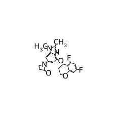 Cc1nc2c(OC3CCOc4cc(F)cc(F)c43)cc(N3CCC3=O)cc2n1C